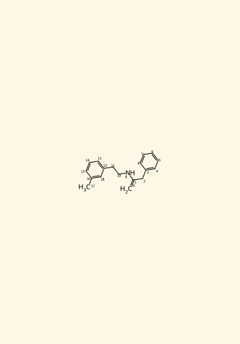 C=C(Cc1ccccc1)NCCc1cccc(C)c1